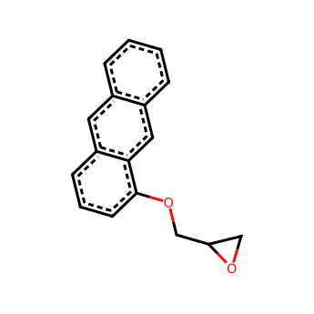 c1ccc2cc3c(OCC4CO4)cccc3cc2c1